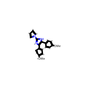 COc1ccc(-c2nc(-n3cccc3)[nH]c2-c2ccc(OC)cc2)cc1